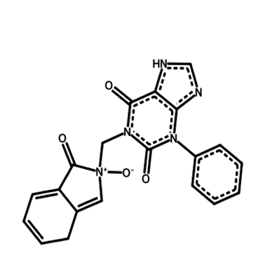 O=C1C2=CC=CCC2=C[N+]1([O-])Cn1c(=O)c2[nH]cnc2n(-c2ccccc2)c1=O